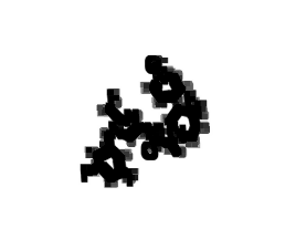 CC(C(=O)Nc1cn(Cc2cc(F)cc(F)c2)c(CF)n1)N1CCC(F)(F)[C@@H](c2cc[n+]([O-])cc2)C1